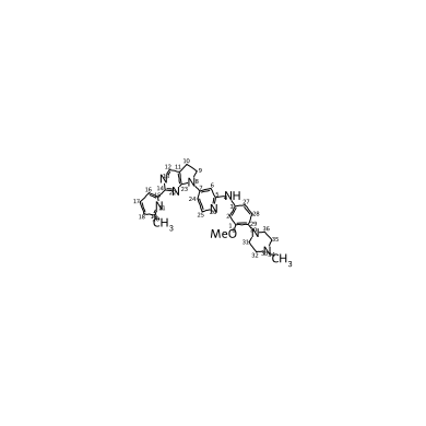 COc1cc(Nc2cc(N3CCc4cnc(-c5cccc(C)n5)nc43)ccn2)ccc1N1CCN(C)CC1